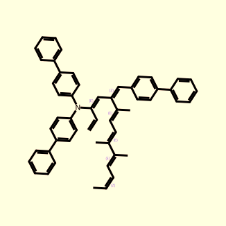 C=C\C(=C/C(=C/c1ccc(-c2ccccc2)cc1)C(/C)=C/C=C(C)/C(C)=C/C=C\C)N(c1ccc(-c2ccccc2)cc1)c1ccc(-c2ccccc2)cc1